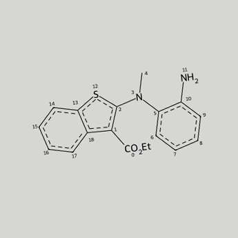 CCOC(=O)c1c(N(C)c2ccccc2N)sc2ccccc12